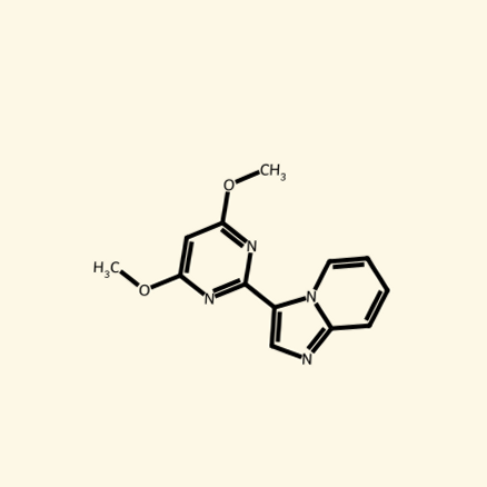 COc1cc(OC)nc(-c2cnc3ccccn23)n1